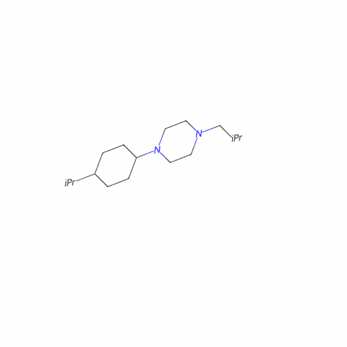 CC(C)CN1CCN(C2CCC(C(C)C)CC2)CC1